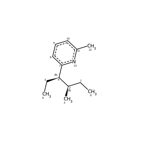 CC[C@@H](C)[C@@H](CC)c1cccc(C)n1